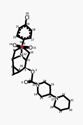 O=C(O[C@H]1C2CC2C2CCCC1N2S(=O)(=O)c1ccc(Cl)cc1)N1CCC(N2CCCCC2)CC1